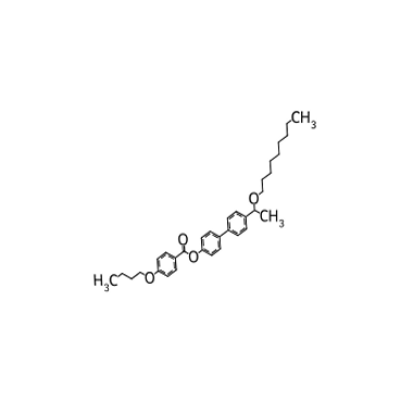 CCCCCCCCCOC(C)c1ccc(-c2ccc(OC(=O)c3ccc(OCCCC)cc3)cc2)cc1